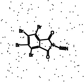 N#CN1C(=O)c2c(Br)c(Br)c(Br)c(Br)c2C1=O